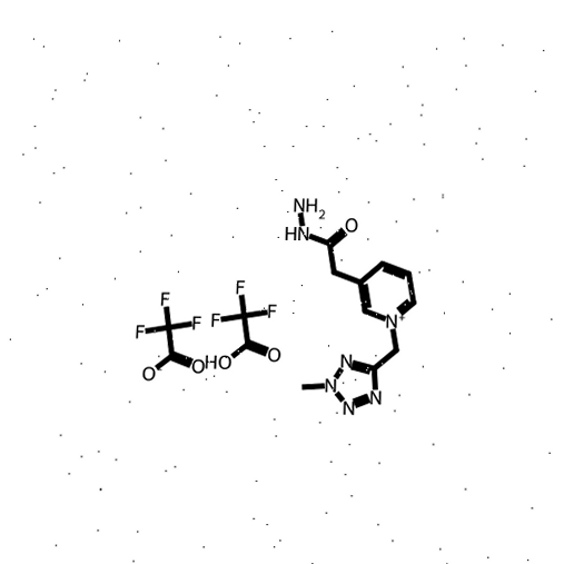 Cn1nnc(C[n+]2cccc(CC(=O)NN)c2)n1.O=C(O)C(F)(F)F.O=C([O-])C(F)(F)F